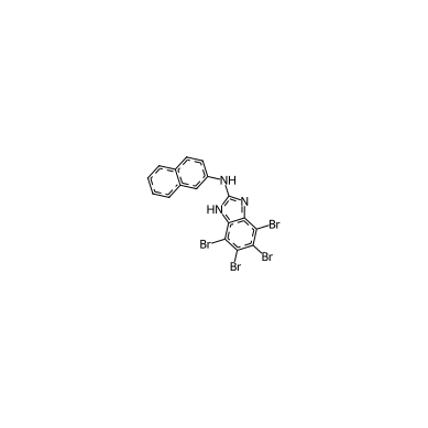 Brc1c(Br)c(Br)c2[nH]c(Nc3ccc4ccccc4c3)nc2c1Br